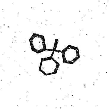 O=P(C1=CCCC=C1)(c1ccccc1)c1ccccc1